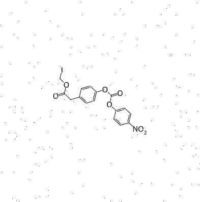 O=C(Cc1ccc(OC(=O)Oc2ccc([N+](=O)[O-])cc2)cc1)OCI